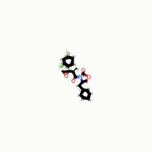 C[C@@H](C(=O)N1C(=O)OCC1Cc1ccccc1)[C@]1(c2ccc(F)cc2F)CO1